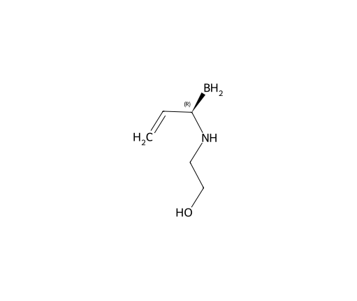 B[C@H](C=C)NCCO